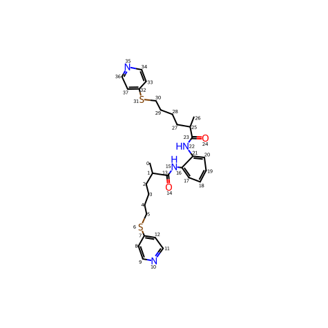 CC(CCCCSc1ccncc1)C(=O)Nc1ccccc1NC(=O)C(C)CCCCSc1ccncc1